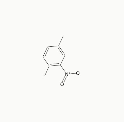 [CH2]c1ccc(C)cc1[N+](=O)[O-]